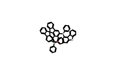 c1ccc(N(c2ccccc2)c2ccc3c(c2)C2(c4ccccc4-3)c3ccccc3-c3cc(N(c4ccccc4)c4cccc5oc6ccccc6c45)c4ccccc4c32)cc1